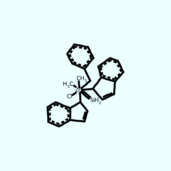 [CH3][Zr]([CH3])(=[SiH2])([Cl])([CH2]c1ccccc1)([CH]1C=Cc2ccccc21)[CH]1C=Cc2ccccc21